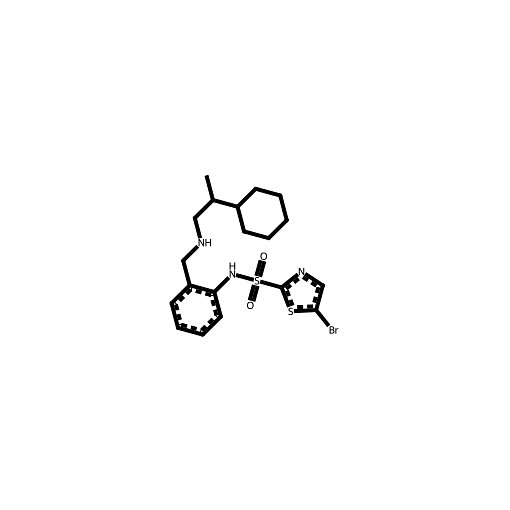 CC(CNCc1ccccc1NS(=O)(=O)c1ncc(Br)s1)C1CCCCC1